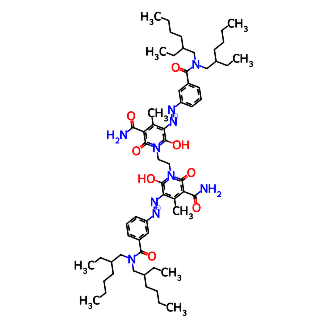 CCCCC(CC)CN(CC(CC)CCCC)C(=O)c1cccc(/N=N/c2c(C)c(C(N)=O)c(=O)n(CCn3c(O)c(/N=N/c4cccc(C(=O)N(CC(CC)CCCC)CC(CC)CCCC)c4)c(C)c(C(N)=O)c3=O)c2O)c1